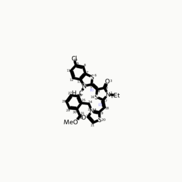 CCn1c(=O)/c(=C2\Sc3cc(Cl)ccc3N2C)s/c1=C\c1scc[n+]1Cc1ccccc1C(=O)OC